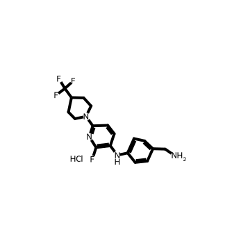 Cl.NCc1ccc(Nc2ccc(N3CCC(C(F)(F)F)CC3)nc2F)cc1